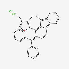 CC1=CCC(c2c3c(ccc2=[Si](c2ccccc2)c2ccccc2)=c2ccccc2=[C]3[Ti+2])=C1C.[Cl-].[Cl-]